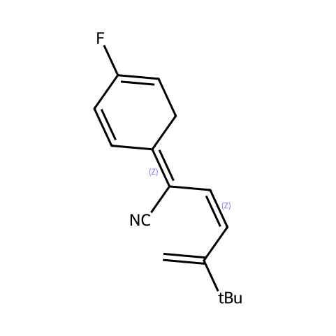 C=C(/C=C\C(C#N)=C1\C=CC(F)=CC1)C(C)(C)C